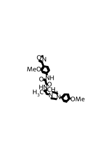 COc1ccc(N2CCN(CC(C)(C)NC(=O)C(=O)Nc3ccc(-c4cocn4)c(OC)c3)CC2)cc1